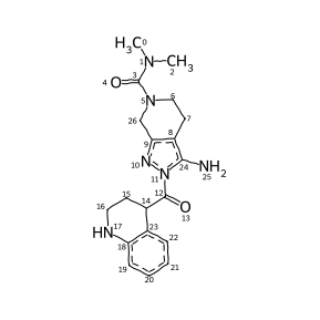 CN(C)C(=O)N1CCc2c(nn(C(=O)C3CCNc4ccccc43)c2N)C1